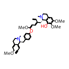 C#C/C=C1\C(=C/COC)CCN(C)[C@H]1Cc1ccc(O/C(=C\C=C(/C=C)C[C@H]2c3c(cc(OC)c(OC)c3O)CCN2C)OC)cc1